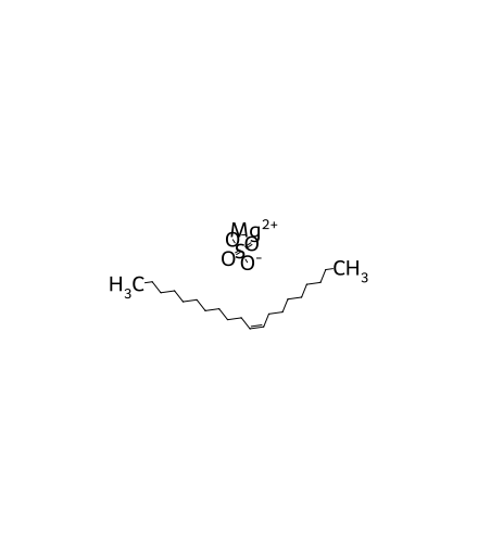 CCCCCCCC/C=C\CCCCCCCCCC.O=S(=O)([O-])[O-].[Mg+2]